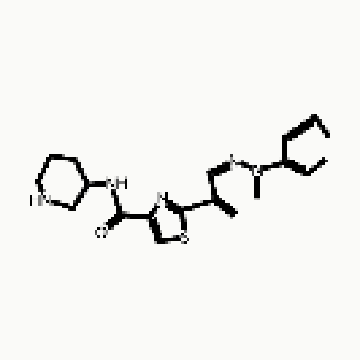 C=C(/C=N\N(C)C(/C=C\C)=C/C)c1nc(C(=O)NC2CCCNC2)cs1